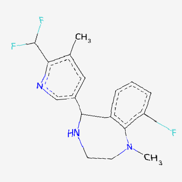 Cc1cc(C2NCCN(C)c3c(F)cccc32)cnc1C(F)F